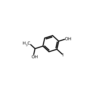 CC(O)c1ccc(O)c(I)c1